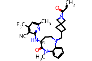 C=CC(=O)N1CC2(CC(CN3CC[C@H](Nc4nc(C)cc(C(F)(F)F)c4C#N)C(=O)N(C)c4ccccc43)C2)C1